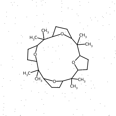 CC1(C)C2CCC(O2)C(C)(C)C2CCC(O2)C(C)(C)C2CCC(O2)C(C)(C)C2CCC1O2